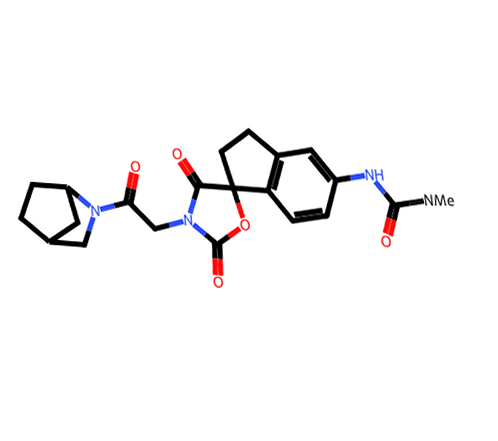 CNC(=O)Nc1ccc2c(c1)CCC21OC(=O)N(CC(=O)N2CC3CCC2C3)C1=O